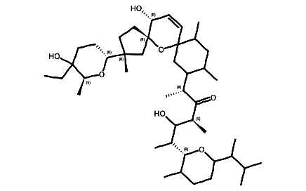 CCC1(O)CC[C@H]([C@]2(C)CC[C@]3(C2)OC2(C=C[C@H]3O)CC([C@@H](C)C(=O)[C@@H](C)C(O)C(C)[C@@H]3OC(C(C)C(C)C)CCC3C)C(C)CC2C)O[C@H]1C